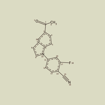 CC(=O)c1ccc2c(ccn2-c2ccc(C#N)c(F)c2)c1